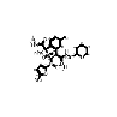 CCC[C@](C(=O)NN)(c1ccc(C)cc1[C@H](CN(C(=O)O)c1ccc(Br)o1)C(=O)NOC1CCCCO1)S(C)(=O)=O